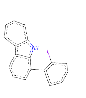 Ic1ccccc1-c1cccc2c1[nH]c1ccccc12